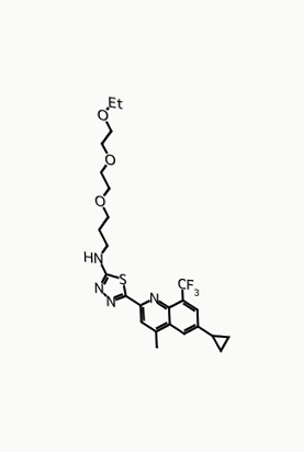 CCOCCOCCOCCCNc1nnc(-c2cc(C)c3cc(C4CC4)cc(C(F)(F)F)c3n2)s1